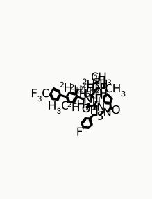 [2H]c1c([2H])c(C([2H])([2H])N(C(=O)C([2H])([2H])n2c(SCc3ccc(F)cc3)nc(=O)c3c2CCC3)C([2H])([2H])C([2H])([2H])N(C([2H])([2H])C)C([2H])([2H])C)c([2H])c(C)c1-c1ccc(C(F)(F)F)cc1